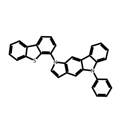 c1ccc(-n2c3ccccc3c3cc4c(ccn4-c4cccc5c4sc4ccccc45)cc32)cc1